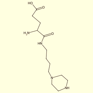 NC(CCC(=O)O)C(=O)NCCCCN1CCNCC1